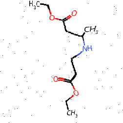 CCOC(=O)CCNC(C)CC(=O)OCC